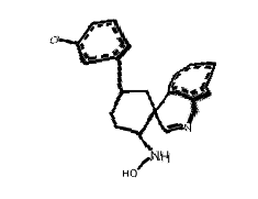 ONC1CCC(c2cccc(Cl)c2)CC12C=Nc1ccccc12